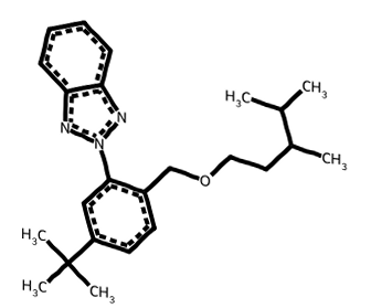 CC(C)C(C)CCOCc1ccc(C(C)(C)C)cc1-n1nc2ccccc2n1